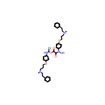 CCCN(C(=O)C(=O)OC(CC)Nc1ccc(SCCCN(C)CCc2ccccc2)cc1)c1ccc(SCCCN(C)CCc2ccccc2)cc1